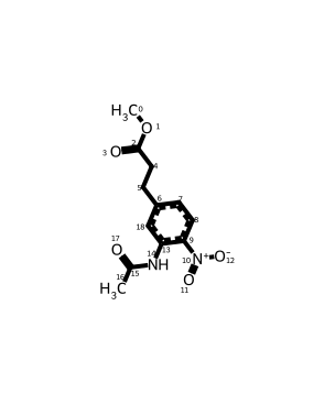 COC(=O)CCc1ccc([N+](=O)[O-])c(NC(C)=O)c1